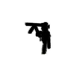 CCCCCCCCCCCCc1ccc(NC(=O)c2ccc(N3N=C(C)/C(=N/Nc4ccccc4C(=O)OCCCCCCCCC(CCCCCCCCC)C(CCCCCCCCC)CCCCCCCCOC(=O)c4ccccc4N/N=C4\C(=O)N(c5ccc(C(=O)Nc6ccc(CCCCCCCCCCCC)cc6)cc5)N=C4C)C3=O)cc2)cc1